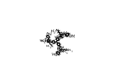 Cl.NCCCCC(N)(C(=O)Cc1ccc(O)cc1)C(=O)Nc1ccc(C(c2ccc(NC(=O)C(N)(CCCCN)C(=O)Cc3ccc(O)cc3)cc2)c2ccc(NC(=O)C(N)(CCCCN)C(=O)Cc3ccc(O)cc3)cc2)cc1